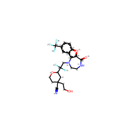 N#CC1(CCO)CCOC(C(F)(F)CN2CCNC(=O)c3oc4ccc(C(F)(F)F)cc4c32)C1